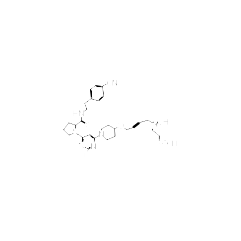 CN(CC#CCOC1CCN(c2cc(N3CCCC3C(=O)NCCc3ccc(C#N)cc3)nc(C(F)(F)F)n2)CC1)CCS(=O)(=O)O